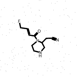 N#CCC1CNCCN1C(=O)/C=C/CF